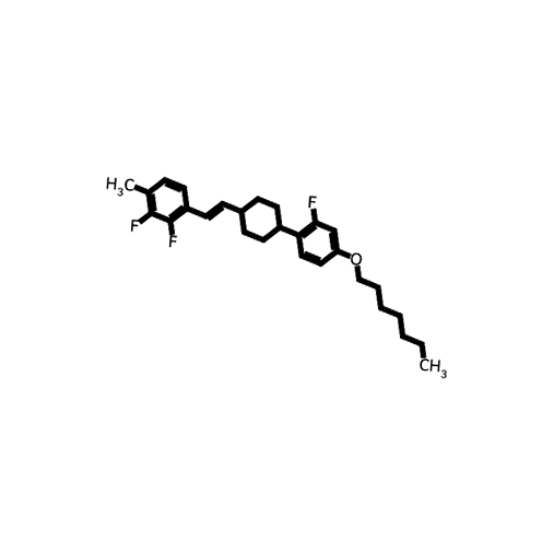 CCCCCCCOc1ccc(C2CCC(/C=C/c3ccc(C)c(F)c3F)CC2)c(F)c1